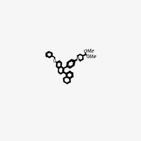 COC(OC)C1CCN(c2ccc(C3=C(c4cccc5c4CCCC5)CCc4cc(OCc5ccccc5)ccc43)cc2)CC1